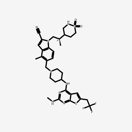 CNc1nc(NC2CCN(Cc3ccc4c(cc(C#N)n4C[C@H](C)C4CCS(=O)(=O)NC4)c3C)CC2)c2cc(CC(F)(F)F)sc2n1